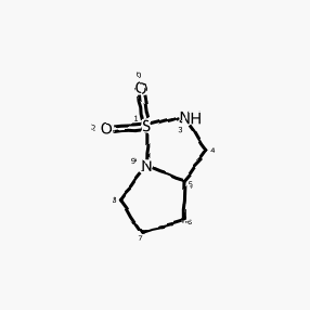 O=S1(=O)NCC2[C]CCN21